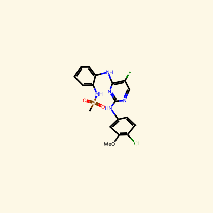 COc1cc(Nc2ncc(F)c(Nc3ccccc3NS(C)(=O)=O)n2)ccc1Cl